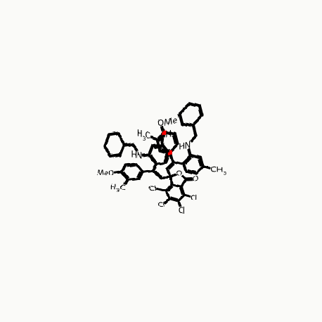 COc1ccc(C(=CC2(C=C(c3ccc(OC)c(C)c3)c3ccc(C)cc3NCC3CCCCC3)OC(=O)c3c(Cl)c(Cl)c(Cl)c(Cl)c32)c2ccc(C)cc2NCC2CCCCC2)cc1C